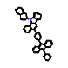 c1ccc(-c2c3ccccc3c(-c3ccc(-c4cc5c6ccccc6n(-c6ccc7ccccc7c6)c5c5ccccc45)cc3)c3ccccc23)cc1